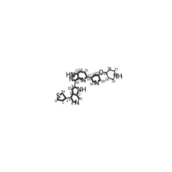 c1cc(-c2cncc3[nH]c(-c4n[nH]c5ccc(-c6cncc(OC7CCNCC7)c6)nc45)cc23)cs1